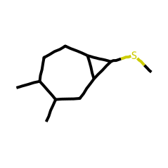 CSC1C2CCC(C)C(C)CC21